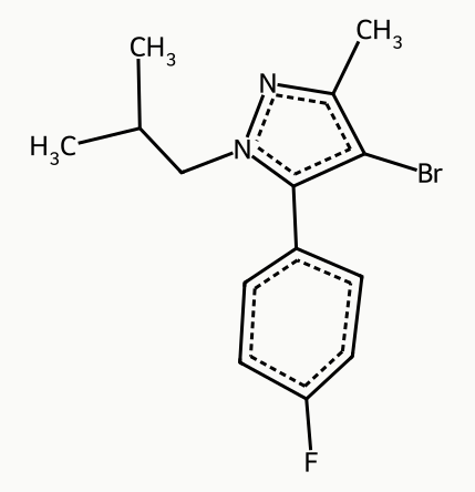 Cc1nn(CC(C)C)c(-c2ccc(F)cc2)c1Br